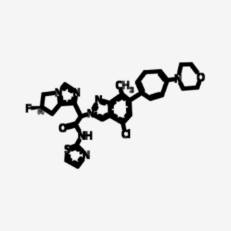 Cc1c(C2=CCC=C(N3CCOCC3)C=C2)cc(Cl)c2cn(C(C(=O)Nc3nccs3)c3ncn4c3C[C@@H](F)C4)nc12